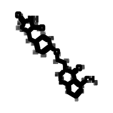 Cc1cccc2c1C(=O)N(CCOc1ccc(CC3SC(=O)NC3=O)cc1)CS2